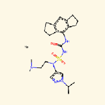 CC(C)n1cc(N(CCN(C)C)S(=O)(=O)NC(=O)Nc2c3c(cc4c2CCC4)CCC3)cn1.[Na]